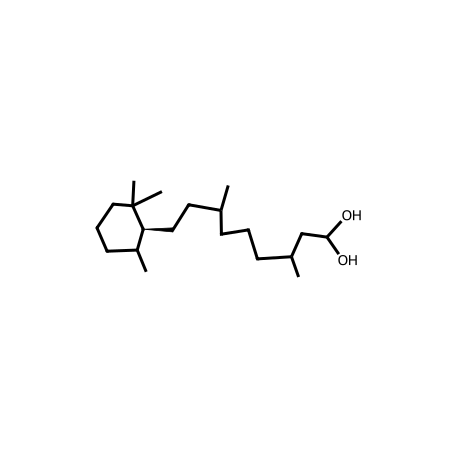 CC(CCCC(C)CC(O)O)CC[C@H]1C(C)CCCC1(C)C